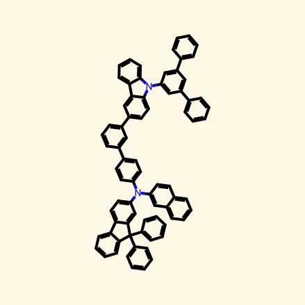 c1ccc(-c2cc(-c3ccccc3)cc(-n3c4ccccc4c4cc(-c5cccc(-c6ccc(N(c7ccc8c(c7)C(c7ccccc7)(c7ccccc7)c7ccccc7-8)c7ccc8ccccc8c7)cc6)c5)ccc43)c2)cc1